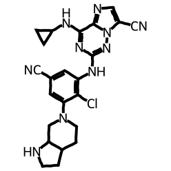 N#Cc1cc(Nc2nc(NC3CC3)c3ncc(C#N)n3n2)c(Cl)c(N2CCC3CCNC3C2)c1